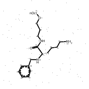 CCCCCCCCOCCCNC(=O)[C@H](CCCCN)NCc1ccccc1